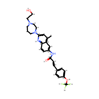 Cc1cc(N2CCCN(CCO)CC2)nc2ccc(NC(=O)C=Cc3ccc(OC(F)(F)F)cc3)cc12